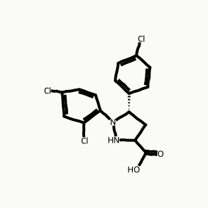 O=C(O)C1C[C@@H](c2ccc(Cl)cc2)N(c2ccc(Cl)cc2Cl)N1